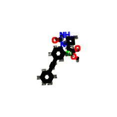 COC(=O)CC1(N(C(N)=O)c2ccc(C#Cc3ccccc3)cc2Cl)CCC1